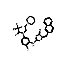 O=C1N=C(Nc2cc(N(CCN3CCCCC3)C(=O)C(F)(F)F)ccc2Cl)SC1=Cc1ccc2ncccc2c1